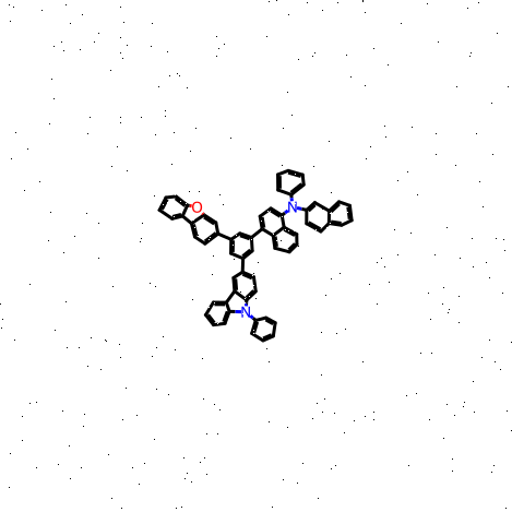 c1ccc(N(c2ccc3ccccc3c2)c2ccc(-c3cc(-c4ccc5c(c4)oc4ccccc45)cc(-c4ccc5c(c4)c4ccccc4n5-c4ccccc4)c3)c3ccccc23)cc1